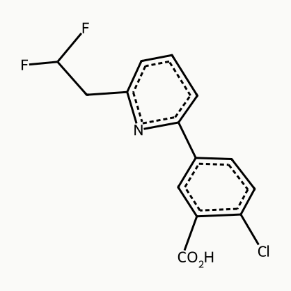 O=C(O)c1cc(-c2cccc(CC(F)F)n2)ccc1Cl